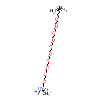 CC(C)(C)CCCOCCOCCOCCOCCOCCOCCOCCOCCOCCOCCNC(C)(C)C